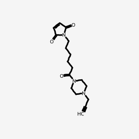 C#CCN1CCN(C(=O)CCCCCN2C(=O)C=CC2=O)CC1